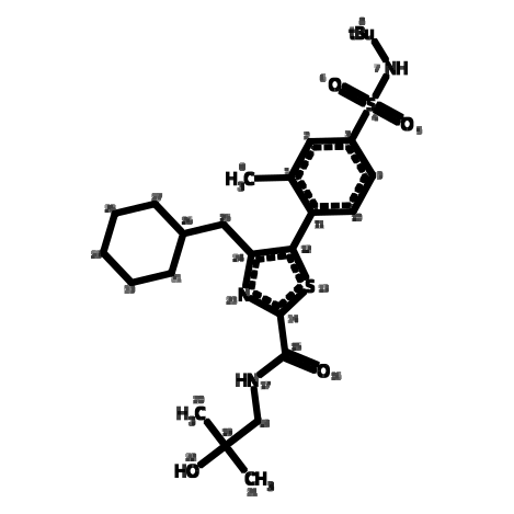 Cc1cc(S(=O)(=O)NC(C)(C)C)ccc1-c1sc(C(=O)NCC(C)(C)O)nc1CC1CCCCC1